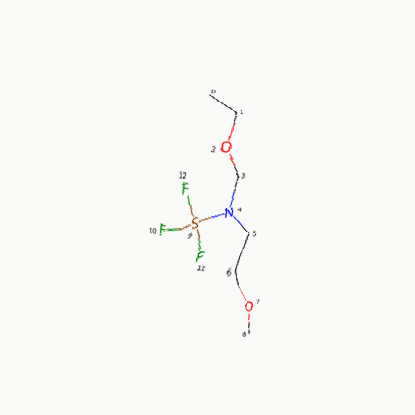 CCOCN(CCOC)S(F)(F)F